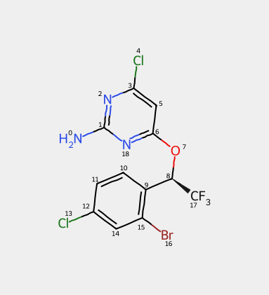 Nc1nc(Cl)cc(O[C@H](c2ccc(Cl)cc2Br)C(F)(F)F)n1